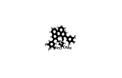 COC1(OC)C[N+]2(Cc3c(-c4cc(F)c(F)c(F)c4)cc4ccccc4c3-c3c(c(-c4cc(F)c(F)c(F)c4)cc4ccccc34)C2)C1